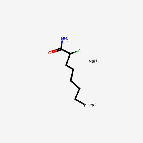 CCCCCCCCCCCCC(Cl)C(N)=O.[NaH]